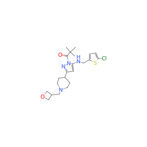 CC(C)(C)C(=O)n1nc(C2CCN(CC3COC3)CC2)cc1NCc1ccc(Cl)s1